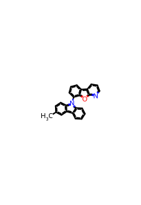 Cc1ccc2c(c1)c1ccccc1n2-c1cccc2c1oc1ncccc12